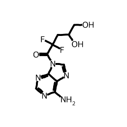 Nc1ncnc2c1ncn2C(=O)C(F)(F)CC(O)CO